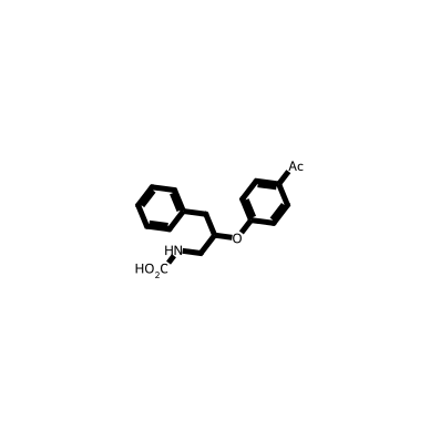 CC(=O)c1ccc(OC(CNC(=O)O)Cc2ccccc2)cc1